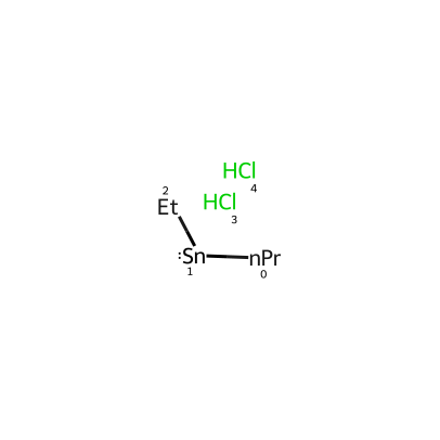 CC[CH2][Sn][CH2]C.Cl.Cl